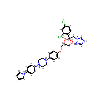 Clc1ccc([C@]2(Cn3cncn3)OC[C@@H](COc3ccc(N4CCN(c5ccc(-n6cccc6)cc5)CC4)cc3)O2)c(Cl)c1